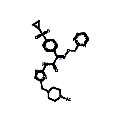 CC(=O)N1CCN(Cc2cnc(NC(=O)/C(=N/OCc3ncccn3)c3ccc(S(=O)(=O)C4CC4)cc3)s2)CC1